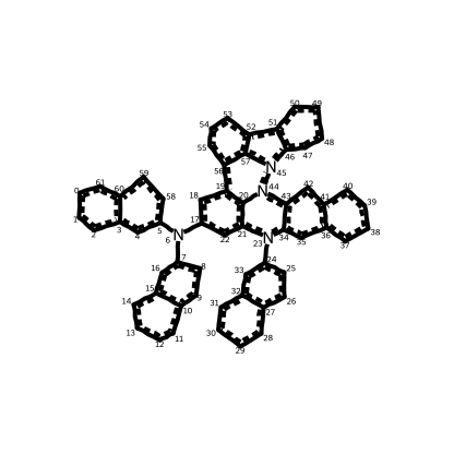 c1ccc2cc(N(c3ccc4ccccc4c3)c3cc4c5c(c3)n(-c3ccc6ccccc6c3)c3cc6ccccc6cc3n-5n3c5ccccc5c5cccc4c53)ccc2c1